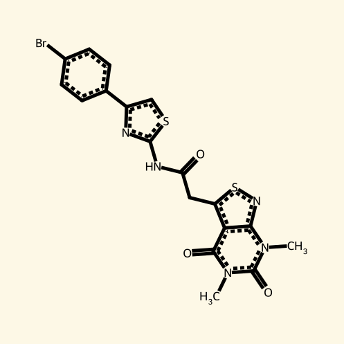 Cn1c(=O)c2c(CC(=O)Nc3nc(-c4ccc(Br)cc4)cs3)snc2n(C)c1=O